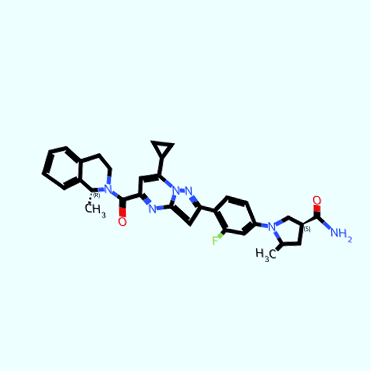 CC1C[C@H](C(N)=O)CN1c1ccc(-c2cc3nc(C(=O)N4CCc5ccccc5[C@H]4C)cc(C4CC4)n3n2)c(F)c1